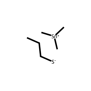 CCC[S-].[CH3][Sn+]([CH3])[CH3]